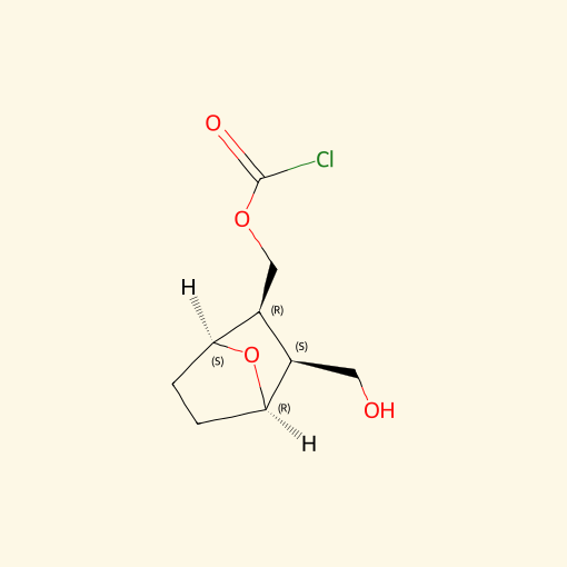 O=C(Cl)OC[C@H]1[C@@H](CO)[C@H]2CC[C@@H]1O2